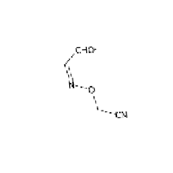 N#CCO/N=C\[C]=O